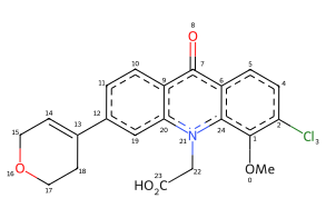 COc1c(Cl)ccc2c(=O)c3ccc(C4=CCOCC4)cc3n(CC(=O)O)c12